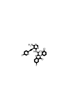 CC(Nc1ncnc(N)c1C#Cc1ccc(F)cn1)c1nc2ccc(F)cc2c(=O)n1-c1cccc(Cl)c1